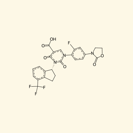 O=C(O)c1cn(-c2ccc(N3CCOC3=O)cc2F)c(=O)n([C@@H]2CCc3c2cccc3C(F)(F)F)c1=O